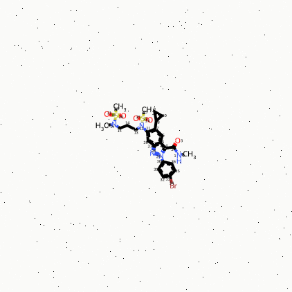 CNC(=O)c1c2cc(C3CC3)c(N(CCCN(C)S(C)(=O)=O)S(C)(=O)=O)cc2nn1-c1ccc(Br)cc1